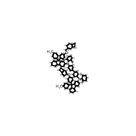 Cc1ccc(C2(c3ccc(OCc4ccc5c(c4)CC5)cc3)c3ccccc3-c3ccc(N(c4ccc(-c5ccc(N(c6ccc7c(c6)C(c6ccc(C)cc6)(c6ccc(Oc8ccc9c(c8)CC9)cc6)c6ccccc6-7)c6c(F)cccc6F)cc5)cc4)c4c(F)cccc4F)cc32)cc1